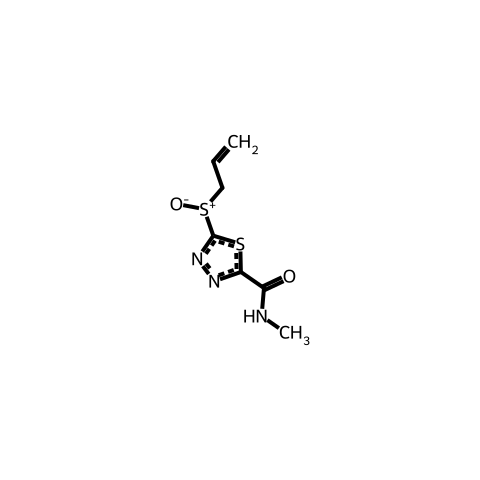 C=CC[S+]([O-])c1nnc(C(=O)NC)s1